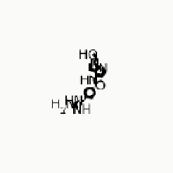 N=C(N)NC[C@H]1CC[C@H](C(=O)Nc2ccnc3c2ccn3CO)CC1